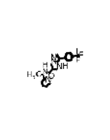 CC(NC(=O)C1CNc2c(-c3ccc(C(F)(F)I)cc3)cnn2C1)c1ccccn1